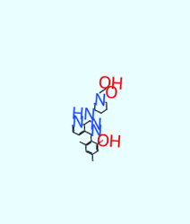 Cc1cc(C)c(-c2nnc(NC3CCCN(CC(=O)O)C3)c3ncccc23)c(O)c1